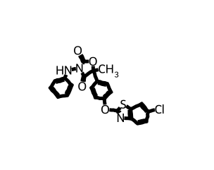 CC1(c2ccc(Oc3nc4ccc(Cl)cc4s3)cc2)OC(=O)N(Nc2ccccc2)C1=O